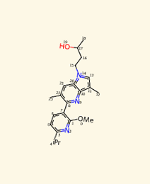 COc1nc(C(C)C)ccc1-c1nc2c(C)cn(CCC(C)O)c2cc1C